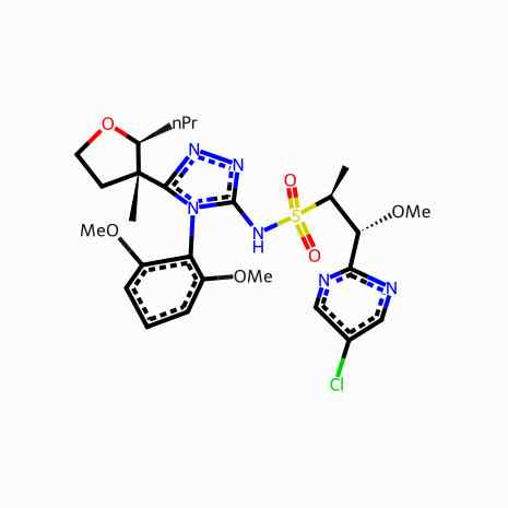 CCC[C@@H]1OCC[C@@]1(C)c1nnc(NS(=O)(=O)[C@@H](C)[C@H](OC)c2ncc(Cl)cn2)n1-c1c(OC)cccc1OC